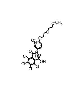 COCCOCCOc1ccc(NC(=O)c2c(Cl)c(Cl)c(Cl)c(Cl)c2C(=O)O)c[n+]1[O-]